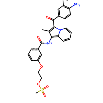 Cc1c(NC(=O)c2cccc(OCCOS(C)(=O)=O)c2)c2ccccn2c1C(=O)c1ccc(N)c(C(=O)O)c1